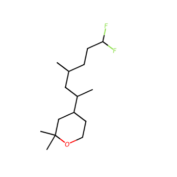 CC(CCC(F)F)CC(C)C1CCOC(C)(C)C1